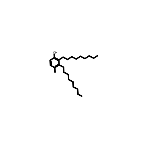 CCCCCCCCCc1c(C)ccc(O)c1CCCCCCCCC